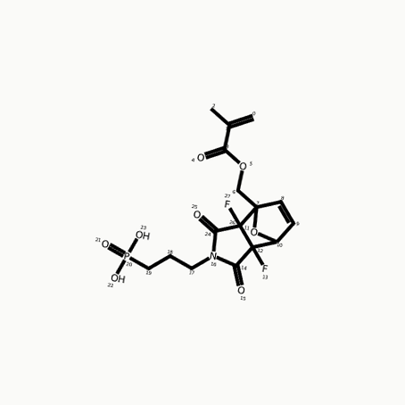 C=C(C)C(=O)OCC12C=CC(O1)C1(F)C(=O)N(CCCP(=O)(O)O)C(=O)C21F